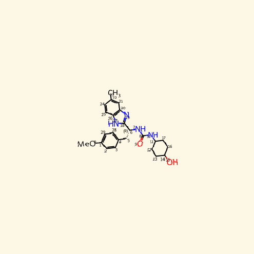 COc1ccc(C[C@@H](NC(=O)NC2CCC(O)CC2)c2nc3cc(C)ccc3[nH]2)cc1